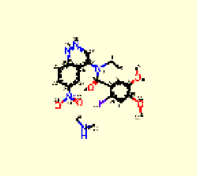 CCN(C(=O)c1cc(OC)c(OC)cc1I)c1cnnc2ccc([N+](=O)[O-])cc12.CNC